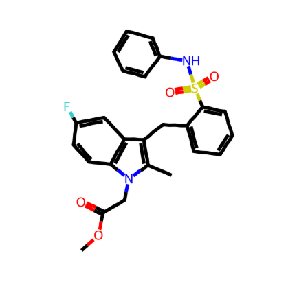 COC(=O)Cn1c(C)c(Cc2ccccc2S(=O)(=O)Nc2ccccc2)c2cc(F)ccc21